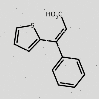 O=C(O)C=C(c1ccccc1)c1cccs1